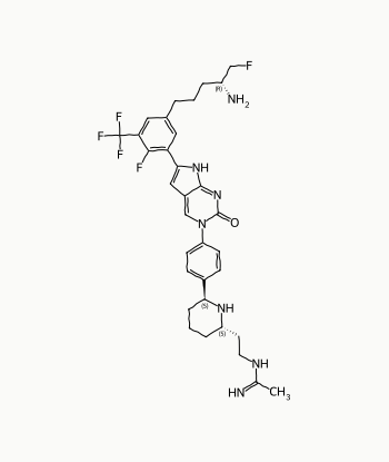 CC(=N)NCC[C@@H]1CCC[C@@H](c2ccc(-n3cc4cc(-c5cc(CCC[C@@H](N)CF)cc(C(F)(F)F)c5F)[nH]c4nc3=O)cc2)N1